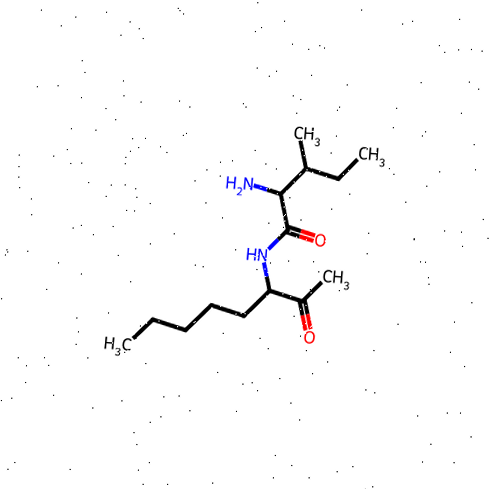 CCCCCC(NC(=O)C(N)C(C)CC)C(C)=O